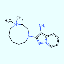 C[N+]1(C)CCCCCN(c2nn3ccccc3c2N)CC1